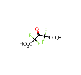 O=C(O)C(F)(F)C(=O)C(F)(F)C(=O)O